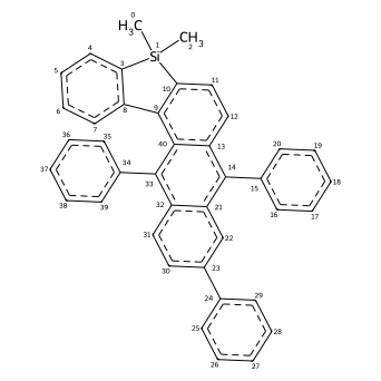 C[Si]1(C)c2ccccc2-c2c1ccc1c(-c3ccccc3)c3cc(-c4ccccc4)ccc3c(-c3ccccc3)c21